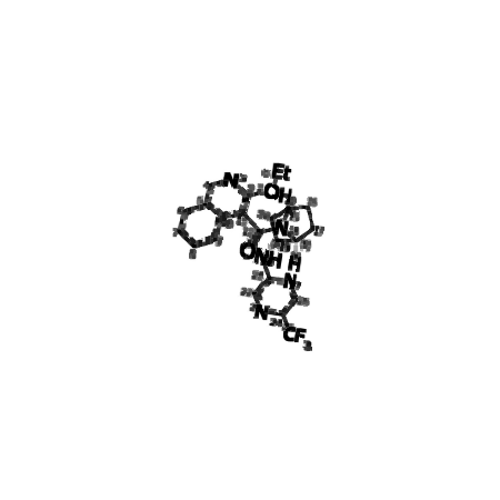 CCOc1ncc2ccccc2c1C(=O)N1[C@@H]2CC[C@H]1[C@H](Nc1cnc(C(F)(F)F)cn1)C2